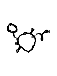 O=C(O)C[C@@H]1CC=CCCC(=O)N[C@H](Cc2ccccc2)COC1=O